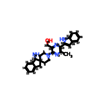 Cc1nc(N2CCC3(CC2)Cc2ccccc2C3N)c(CO)nc1-c1cc2ccccc2[nH]1